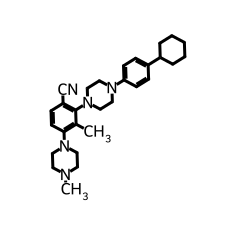 Cc1c(N2CCN(C)CC2)ccc(C#N)c1N1CCN(c2ccc(C3CCCCC3)cc2)CC1